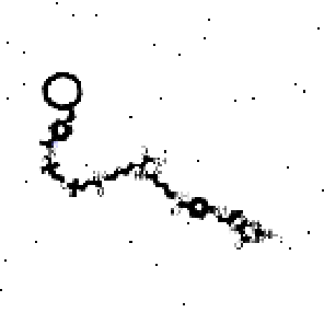 C/C(=N\OC(C)(C)CCOC(C)(C)CCC(=O)NCCCC[C@H](NC(=O)CCCNC(=O)c1ccc(NCc2cnc3nc(N)[nH]c(=O)c3n2)cc1)C(=O)O)c1ccc(CC2CCCCCCCCCCC2)cc1